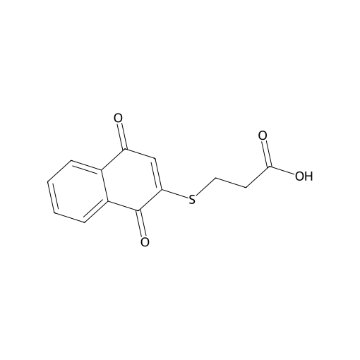 O=C(O)CCSC1=CC(=O)c2ccccc2C1=O